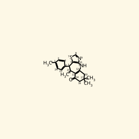 Cc1ccc(C2c3scnc3NC3=C(C(=O)CC(C)(C)C3)C2C)cc1